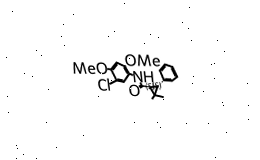 COc1cc(OC)c(NC(=O)[C@H]2[C@H](c3ccccc3)C2(C)C)cc1Cl